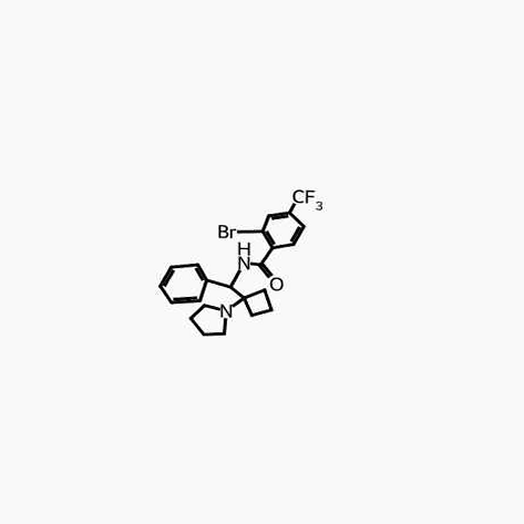 O=C(NC(c1ccccc1)C1(N2CCCC2)CCC1)c1ccc(C(F)(F)F)cc1Br